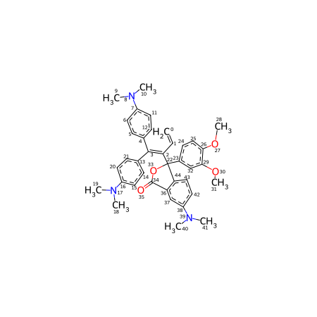 C=CC(=C(c1ccc(N(C)C)cc1)c1ccc(N(C)C)cc1)C1(c2ccc(OC)c(OC)c2)OC(=O)c2cc(N(C)C)ccc21